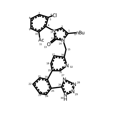 CCCCc1cn(-c2c(Cl)cccc2C(C)=O)c(=O)n1Cc1ccc(-c2ccccc2-c2nnn[nH]2)cn1